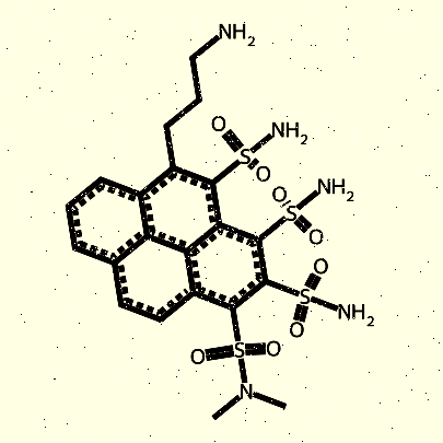 CN(C)S(=O)(=O)c1c(S(N)(=O)=O)c(S(N)(=O)=O)c2c(S(N)(=O)=O)c(CCCN)c3cccc4ccc1c2c43